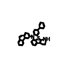 C1=Cc2c(sc3c(N(c4ccc(-c5ccccc5)cc4)c4ccc5ccc6ccccc6c5c4)cccc23)NC1